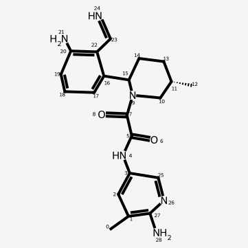 Cc1cc(NC(=O)C(=O)N2C[C@@H](C)CCC2c2cccc(N)c2C=N)cnc1N